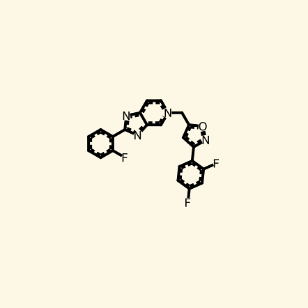 Fc1ccc(-c2cc(Cn3ccc4nc(-c5ccccc5F)nc-4c3)on2)c(F)c1